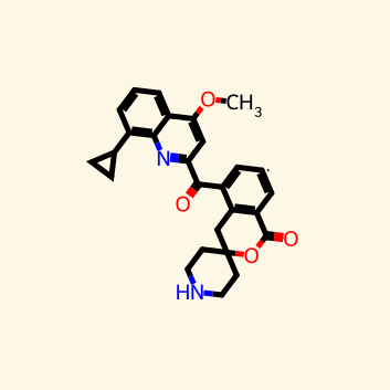 COc1cc(C(=O)c2c[c]cc3c2CC2(CCNCC2)OC3=O)nc2c(C3CC3)cccc12